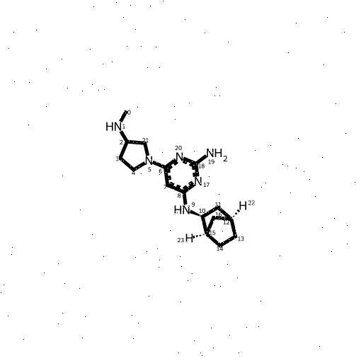 CNC1CCN(c2cc(N[C@H]3C[C@H]4CC[C@@H]3C4)nc(N)n2)C1